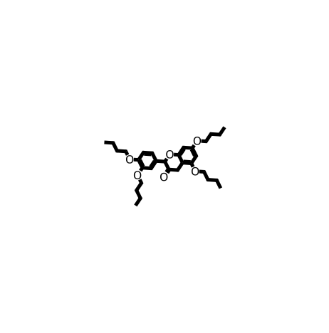 CCCCOc1cc(OCCCC)c2c(c1)OC(c1ccc(OCCCC)c(OCCCC)c1)C(=O)C2